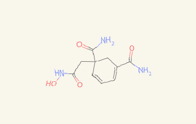 NC(=O)C1=CC=CC(CC(=O)NO)(C(N)=O)C1